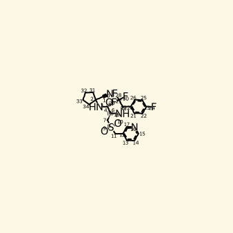 N#CC1(NC(=O)[C@H](CS(=O)(=O)Cc2cccnc2)N[C@@H](c2ccc(F)cc2)C(F)(F)F)CCCC1